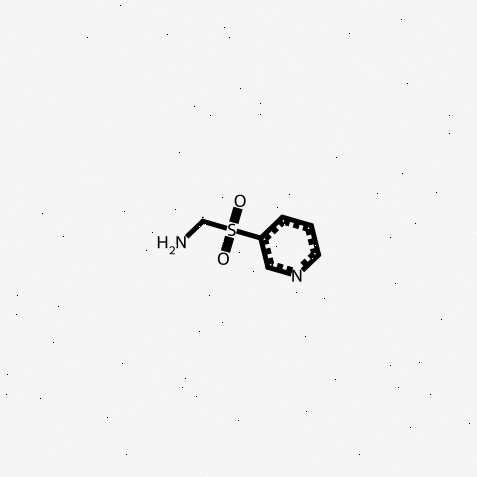 N[CH]S(=O)(=O)c1cccnc1